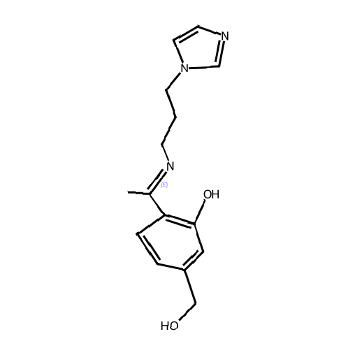 C/C(=N\CCCn1ccnc1)c1ccc(CO)cc1O